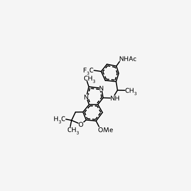 COc1cc2c(NC(C)c3cc(NC(C)=O)cc(C(F)(F)F)c3)nc(C)nc2c2c1OC(C)(C)C2